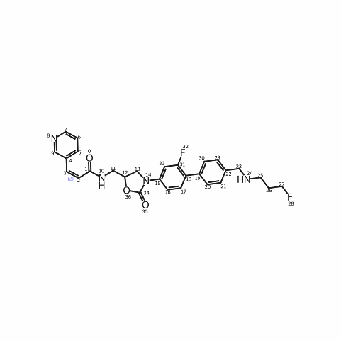 O=C(/C=C\c1cccnc1)NCC1CN(c2ccc(-c3ccc(CNCCCF)cc3)c(F)c2)C(=O)O1